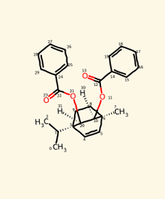 CC(C)[C@]12C=C[C@](C)(CC1)[C@H](OC(=O)c1ccccc1)[C@@H]2OC(=O)c1ccccc1